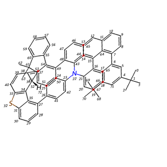 CC(C)(C)c1cc(-c2cccc3cccc(-c4ccccc4N(c4ccc(-c5cccc6sc7c(c56)[C@H]5C=C5C=C7)cc4)c4ccccc4-c4cccc5c4-c4ccccc4C5(C)C)c23)cc(C(C)(C)C)c1